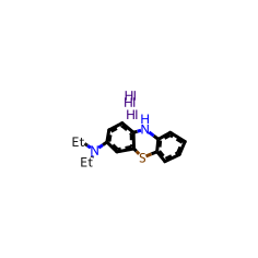 CCN(CC)c1ccc2c(c1)Sc1ccccc1N2.I.I.I